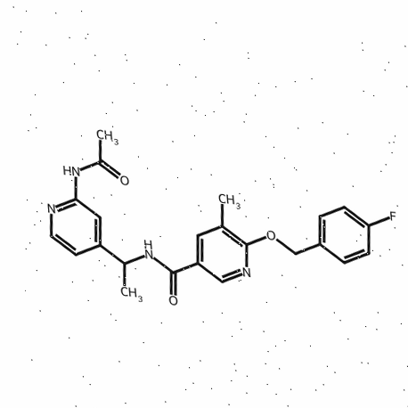 CC(=O)Nc1cc(C(C)NC(=O)c2cnc(OCc3ccc(F)cc3)c(C)c2)ccn1